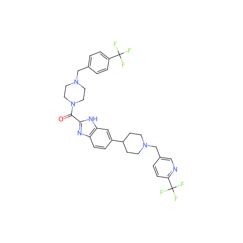 O=C(c1nc2ccc(C3CCN(Cc4ccc(C(F)(F)F)nc4)CC3)cc2[nH]1)N1CCN(Cc2ccc(C(F)(F)F)cc2)CC1